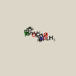 COC(=O)C(Cc1ccc(OCCc2ccccc2C(F)(F)F)cc1)n1cccc1